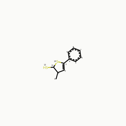 CC1C=C(c2ccccc2)SC1S